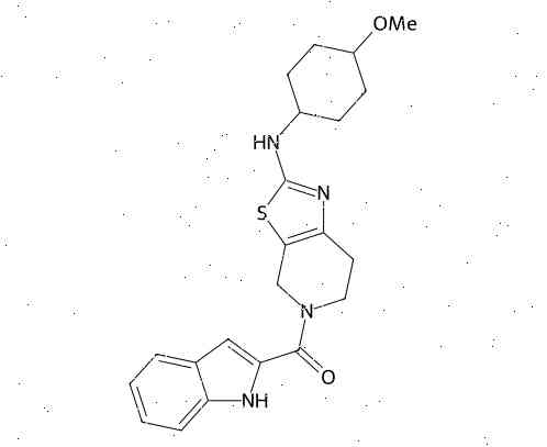 COC1CCC(Nc2nc3c(s2)CN(C(=O)c2cc4ccccc4[nH]2)CC3)CC1